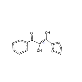 O=C(/C(O)=C(\O)c1ccco1)c1ccccc1